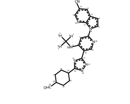 [2H]C([2H])([2H])Nc1cc(-n2ccc3cc(C#N)cnc32)ncc1-c1nnc(C2CCC(C=O)CC2)s1